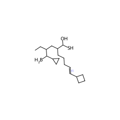 BC(C1CC1)C(CC)CC(CCC/C=C/C1CCC1)C(O)S